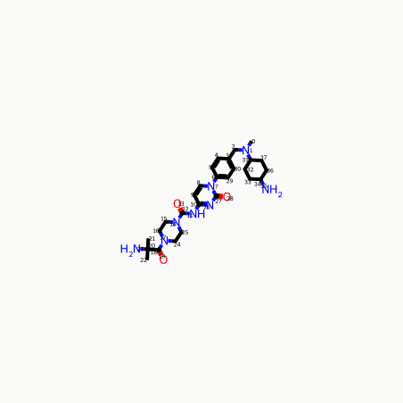 CN(Cc1ccc(-n2ccc(NC(=O)N3CCN(C(=O)C(C)(C)N)CC3)nc2=O)cc1)C1CCC(N)CC1